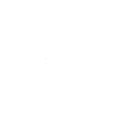 CC(C)CCCC(C)CCCC(C)CCCCC(C)CCCC(C)CCCC(C)CCC=O